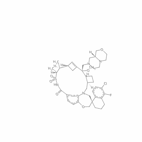 CO[C@@]1(CN2CCN3CCOC[C@H]3C2)C2=C[C@H](C2)[C@H](C)[C@@H](C)S(=O)(=O)NC(=O)c2ccc3c(c2)N(C[C@@H]2CC[C@H]21)C[C@@]1(CCCc2c1ccc(Cl)c2F)CO3